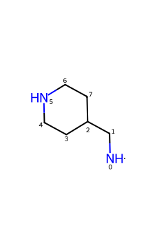 [NH]CC1CCNCC1